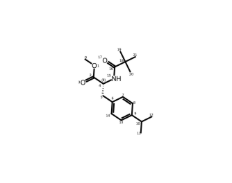 COC(=O)[C@@H](Cc1ccc(C(C)C)cc1)NC(=O)C(C)(C)C